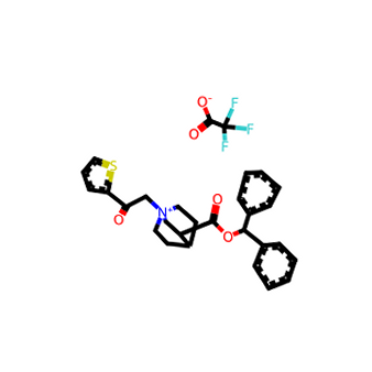 O=C(C[N+]12CCC(CC1)C(C(=O)OC(c1ccccc1)c1ccccc1)C2)c1cccs1.O=C([O-])C(F)(F)F